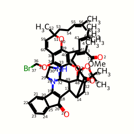 COC(=O)/C(C)=C\CC12OC(C)(C)C3CC(C1=O)C1C4=C(c5ccccc5C4=O)N4CCNC45c4c(OCBr)c6c(c(CC=C(C)C)c4OC32C15)OC(C)(CCC=C(C)C)C=C6